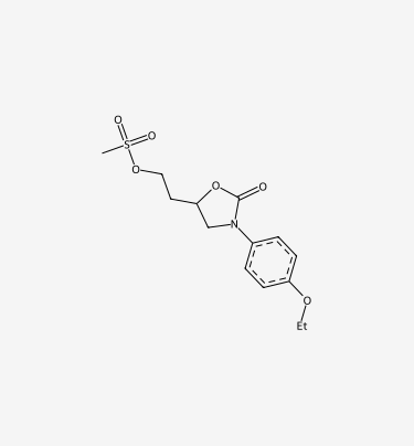 CCOc1ccc(N2CC(CCOS(C)(=O)=O)OC2=O)cc1